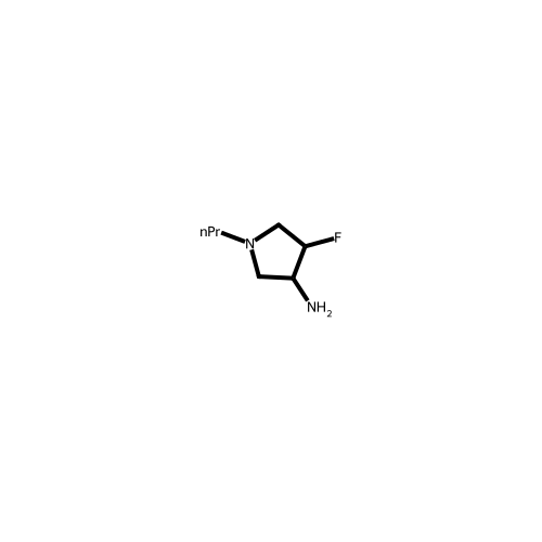 CCCN1CC(N)C(F)C1